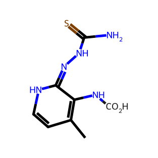 Cc1cc[nH]c(=NNC(N)=S)c1NC(=O)O